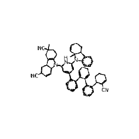 CC1(C#N)CCC2=C(C1)C1CC(C#N)C=CC1N2C1C=C(c2ccccc2C2=CCCC=C2c2ccccc2C2CCCC=C2C#N)C=C(N2c3ccccc3C3CCC=CC32C)N1